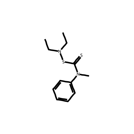 CCN(CC)SC(=S)N(C)c1ccccc1